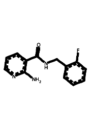 Nc1ncccc1C(=O)NCc1ccccc1F